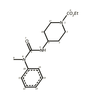 CCOC(=O)N1CCC(NC(=O)N(C)c2ccccc2)CC1